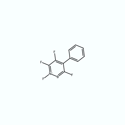 Fc1b[n+](F)c(F)c(F)c1-c1ccccc1